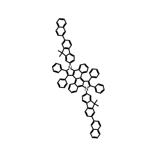 CC1(C)c2cc(-c3ccc4ccccc4c3)ccc2-c2ccc(-n3c(-c4ccccc4)c(-c4ccccc4)c4c5c6ccccc6c6c(c(-c7ccccc7)c(-c7ccccc7)n6-c6ccc7c(c6)C(C)(C)c6cc(-c8ccc9ccccc9c8)ccc6-7)c5c5ccccc5c43)cc21